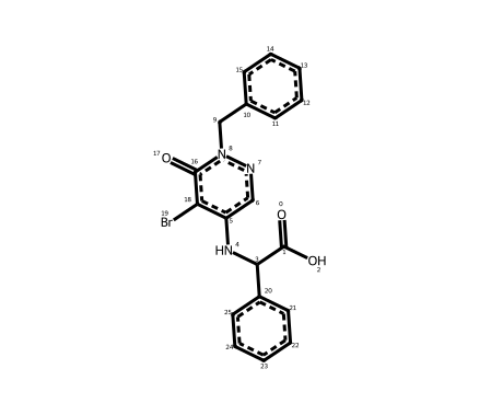 O=C(O)C(Nc1cnn(Cc2ccccc2)c(=O)c1Br)c1ccccc1